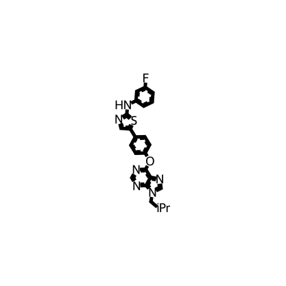 CC(C)Cn1cnc2c(Oc3ccc(-c4cnc(Nc5cccc(F)c5)s4)cc3)ncnc21